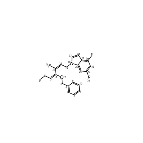 CC/C=C(OCc1ccccc1)\C(F)=C/Cn1ccc2c(C)cc(F)cc21